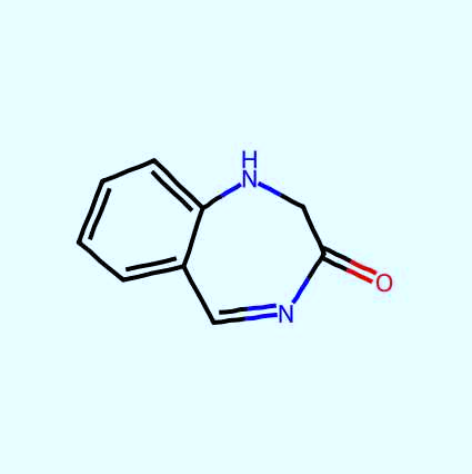 O=C1CNc2ccccc2C=N1